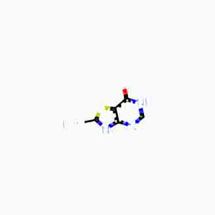 Cc1nc2nc[nH]c(=O)c2s1